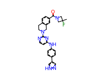 CC1(F)CN(C(=O)c2ccc3c(c2)CN(c2nccc(Nc4ccc(-c5cn[nH]c5)cc4)n2)CC3)C1